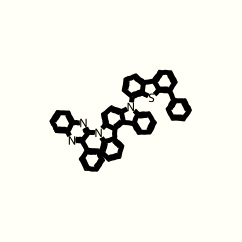 c1ccc(-c2nc3ccccc3nc2-n2c3ccccc3c3c4c5ccccc5n(-c5cccc6c5sc5c(-c7ccccc7)cccc56)c4ccc32)cc1